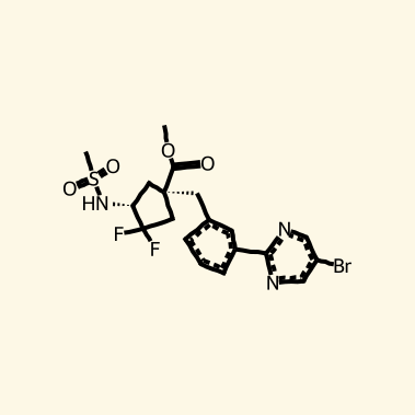 COC(=O)[C@]1(Cc2cccc(-c3ncc(Br)cn3)c2)C[C@@H](NS(C)(=O)=O)C(F)(F)C1